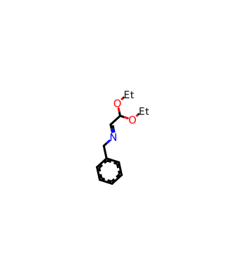 CCOC(C=NCc1ccccc1)OCC